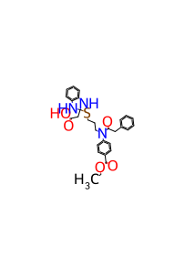 CCOC(=O)c1ccc(N(CCCSC2(CC(=O)O)Nc3ccccc3N2)C(=O)Cc2ccccc2)cc1